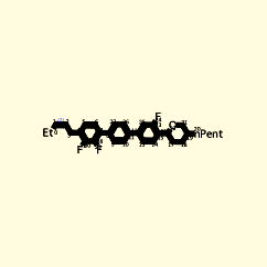 CC/C=C\Cc1ccc(-c2ccc(-c3ccc(C4CCC(CCCCC)CO4)c(F)c3)cc2)c(F)c1F